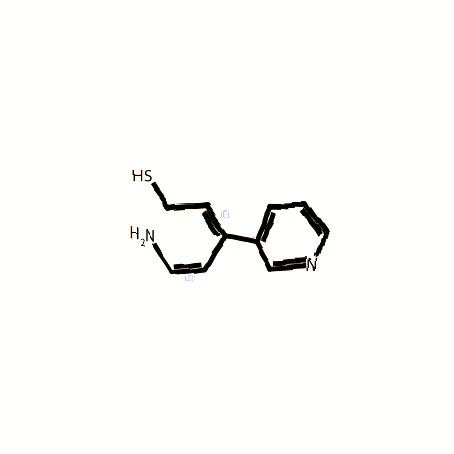 N/C=C\C(=C/CS)c1cccnc1